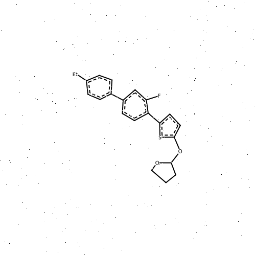 CCc1ccc(-c2ccc(-c3ccc(OC4CCCO4)s3)c(F)c2)cc1